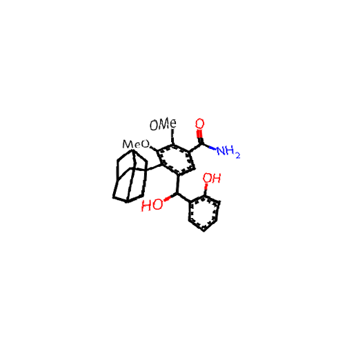 COc1c(C(N)=O)cc(C(O)c2ccccc2O)c(C23CC4CC(CC(C4)C2)C3)c1OC